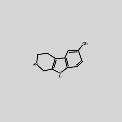 Oc1ccc2[nH]c3c(c2c1)CCNC3